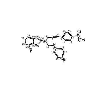 O=C(O)c1ccc(C#CCN(CCc2ccc(F)cc2)c2nc3cccc(F)c3s2)cc1